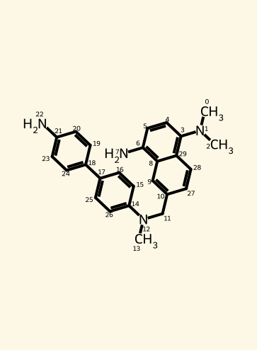 CN(C)c1ccc(N)c2cc(CN(C)c3ccc(-c4ccc(N)cc4)cc3)ccc12